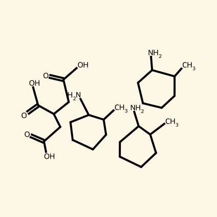 CC1CCCCC1N.CC1CCCCC1N.CC1CCCCC1N.O=C(O)CC(CC(=O)O)C(=O)O